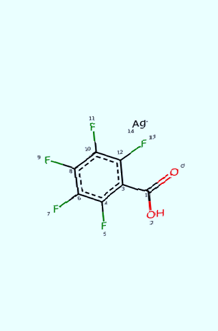 O=C(O)c1c(F)c(F)c(F)c(F)c1F.[Ag]